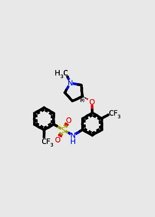 CN1CC[C@@H](Oc2cc(NS(=O)(=O)c3ccccc3C(F)(F)F)ccc2C(F)(F)F)C1